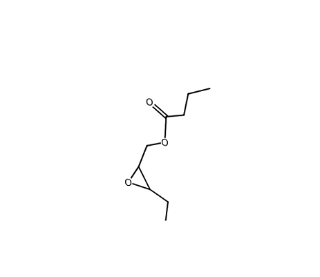 CCCC(=O)OCC1OC1CC